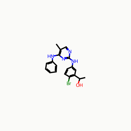 Cc1cnc(Nc2ccc(Br)c(C(C)O)c2)nc1Nc1ccccc1